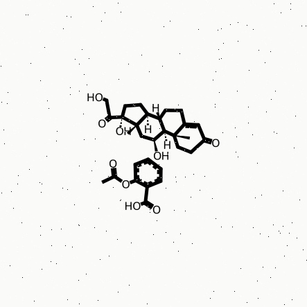 CC(=O)Oc1ccccc1C(=O)O.C[C@]12CCC(=O)C=C1CC[C@@H]1[C@@H]2[C@@H](O)C[C@@]2(C)[C@H]1CC[C@]2(O)C(=O)CO